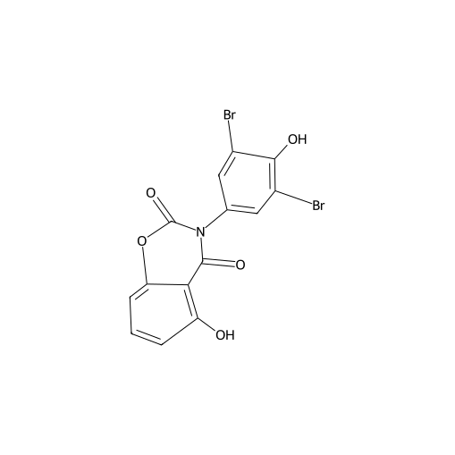 O=c1oc2cccc(O)c2c(=O)n1-c1cc(Br)c(O)c(Br)c1